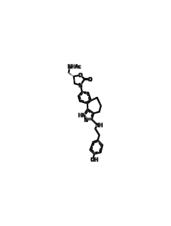 CC(=O)NC[C@H]1CN(c2ccc3c(c2)CCCc2c(NCCc4ccc(O)cc4)n[nH]c2-3)C(=O)O1